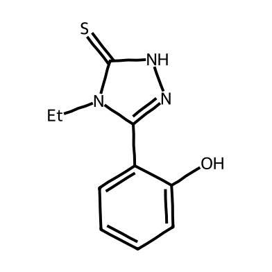 CCn1c(-c2ccccc2O)n[nH]c1=S